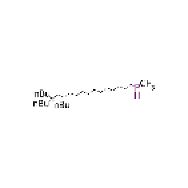 CCCCC(CCCC)(CCCC)CCCCCCCCCCCCCPC(F)(F)F